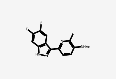 CC(=O)Nc1ccc(-c2n[nH]c3cc(F)c(F)cc23)nc1C